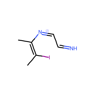 CC(I)=C(C)/N=C\C=N